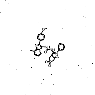 COc1ccc(-c2nc3c(C)cccn3c2NC(=O)Nc2c3c(nn2-c2ccccc2)CS(=O)(=O)C3)cc1